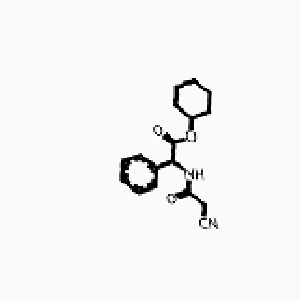 N#CCC(=O)NC(C(=O)OC1CCCCC1)c1ccccc1